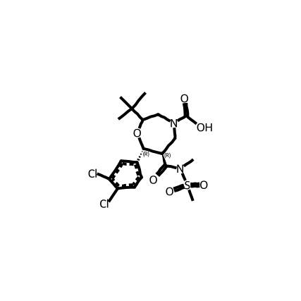 CN(C(=O)[C@@H]1CN(C(=O)O)CC(C(C)(C)C)O[C@H]1c1ccc(Cl)c(Cl)c1)S(C)(=O)=O